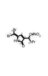 CCCC(O[N+](=O)[O-])C1=CC(=C(Br)Br)NC1=O